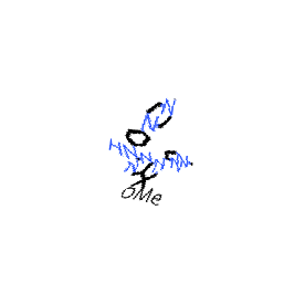 COCC1(C)CN(c2ccn(C)n2)c2nc(Nc3ccc(N4CCN(C)CC4)cc3)ncc21